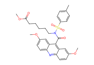 COC(=O)CCCCCN(C(=O)c1c2cc(OC)ccc2nc2ccc(OC)cc12)S(=O)(=O)c1ccc(C)cc1